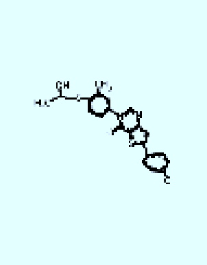 Cc1cc(-n2cnc3cc(-c4ccc(Cl)cc4)sc3c2=O)ccc1SCC(C)O